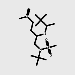 C=S(C)CCC(CN(C(C)(C)C)S(C)(=O)=O)OC(C)C(C)(C)C